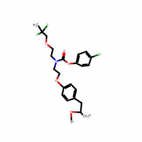 CCOC(Cc1ccc(OCCN(CCOCC(C)(F)F)C(=O)Oc2ccc(Cl)cc2)cc1)C(=O)O